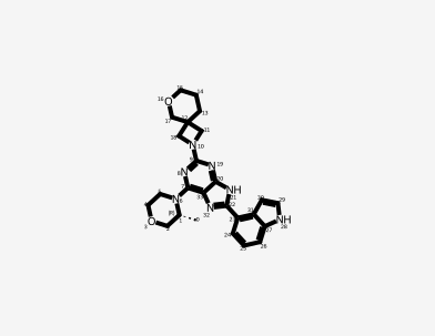 C[C@@H]1COCCN1c1nc(N2CC3(CCCOC3)C2)nc2[nH]c(-c3cccc4[nH]ccc34)nc12